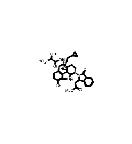 COC(=O)CC1c2ccccc2C(=O)N1[C@@H]1CCC2(O)[C@H]3Cc4ccc(O)c5c4[C@@]2(CCN3CC2CC2)[C@H]1O5.O=C(O)C(O)C(O)C(=O)O